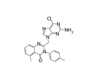 Cc1ccc(-n2c(Cn3cnc4c(Cl)nc(N)nc43)nc3cccc(C)c3c2=O)cc1